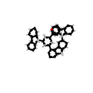 c1ccc(-c2nc(-c3cccc4oc5ccc(-n6c7ccccc7c7ccccc76)cc5c34)nc(-n3c4ccccc4c4ccccc43)n2)cc1